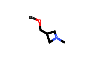 CCOCC1CN(C)C1